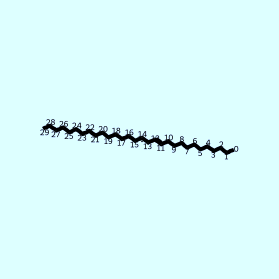 CCCCCCCCCCCC=CC[CH]CCCCCCCCCCCCCCC